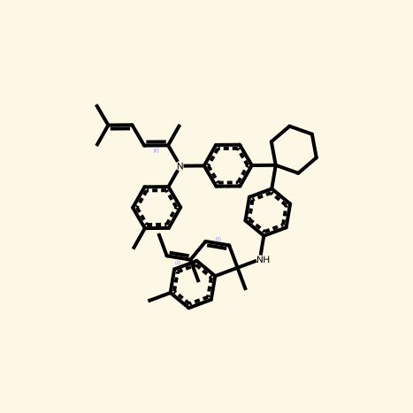 C/C=C(C)\C=C/C(C)(Nc1ccc(C2(c3ccc(N(/C(C)=C/C=C(C)C)c4ccc(C)cc4)cc3)CCCCC2)cc1)c1ccc(C)cc1